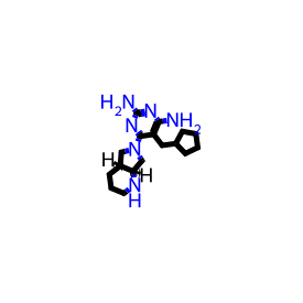 Nc1nc(N)c(CC2CCCC2)c(N2C[C@H]3CCCN[C@H]3C2)n1